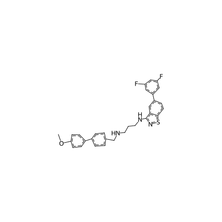 COc1ccc(-c2ccc(CNCCCNc3nsc4ccc(-c5cc(F)cc(F)c5)cc34)cc2)cc1